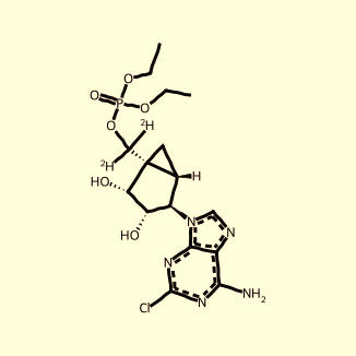 [2H]C([2H])(OP(=O)(OCC)OCC)[C@]12C[C@@H]1[C@@H](n1cnc3c(N)nc(Cl)nc31)[C@H](O)[C@@H]2O